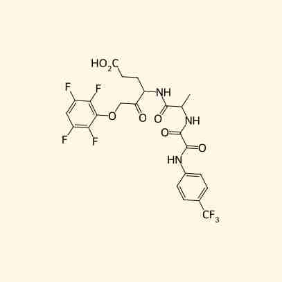 CC(NC(=O)C(=O)Nc1ccc(C(F)(F)F)cc1)C(=O)NC(CCC(=O)O)C(=O)COc1c(F)c(F)cc(F)c1F